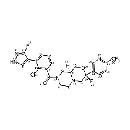 O=C(c1cccc(-c2c[nH]nc2F)c1Cl)N1CCN2C[C@@](F)(c3ccc(C(F)(F)F)nc3)OC[C@@H]2C1